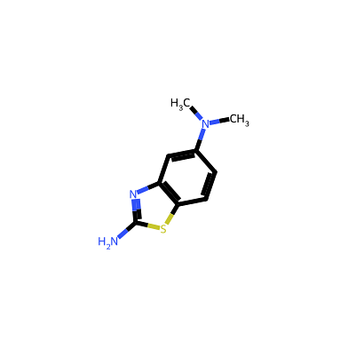 CN(C)c1ccc2sc(N)nc2c1